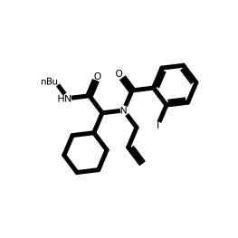 C=CCN(C(=O)c1ccccc1I)C(C(=O)NCCCC)C1CCCCC1